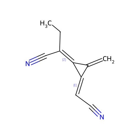 C=C1C(=C(/C#N)CC)/C1=C/C#N